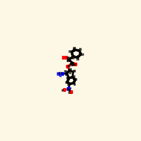 N[C@@H]1c2cc([N+](=O)[O-])ccc2C[C@H]1OC(=O)[C@H](O)c1ccccc1